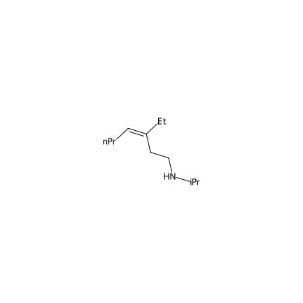 CCC/C=C(/CC)CCNC(C)C